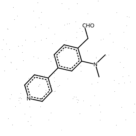 CN(C)c1cc(-c2ccncc2)ccc1CC=O